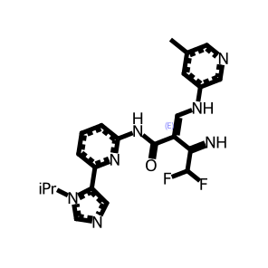 Cc1cncc(N/C=C(\C(=N)C(F)F)C(=O)Nc2cccc(-c3cncn3C(C)C)n2)c1